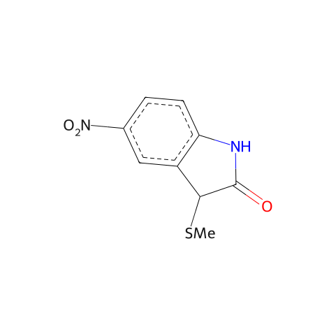 CSC1C(=O)Nc2ccc([N+](=O)[O-])cc21